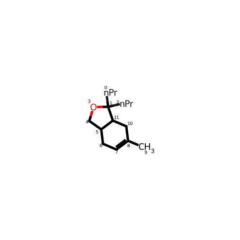 CCCC1(CCC)OCC2CC=C(C)CC21